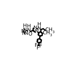 CC(C)CC(Nc1ncc(C(=O)Nc2nnn[nH]2)cn1)c1ccc(-c2ccc(C(F)(F)F)cc2)cc1